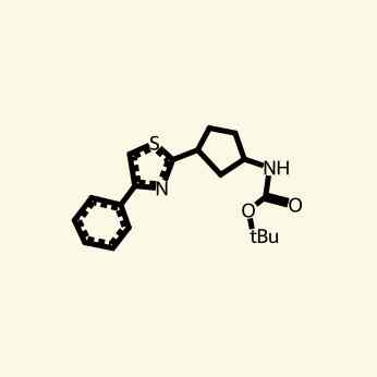 CC(C)(C)OC(=O)NC1CCC(c2nc(-c3ccccc3)cs2)C1